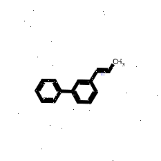 C/C=C/c1cccc(-c2ccccc2)c1